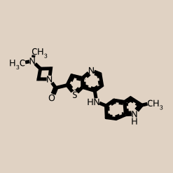 Cc1cc2cc(Nc3ccnc4cc(C(=O)N5CC(N(C)C)C5)sc34)ccc2[nH]1